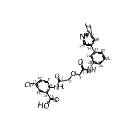 O=C(COCC(=O)Nc1ccc(Cl)cc1C(=O)O)Nc1cccc(-c2cn[nH]c2)c1